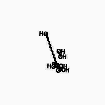 O=C(CCCCCCCCCCCCCCCCCO)O[C@H](CO)[C@H]1OC[C@H](O)[C@H]1O.OCCO